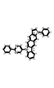 c1ccc(-c2ncc(-n3c4ccccc4c4cc5cc6c(ccn6-c6ccccc6)cc5cc43)cn2)cc1